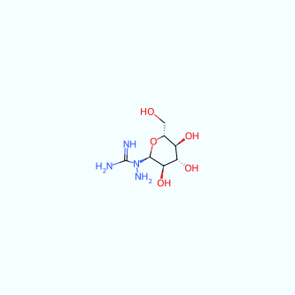 N=C(N)N(N)[C@H]1O[C@H](CO)[C@@H](O)[C@H](O)[C@H]1O